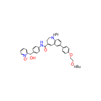 CCCCOCCOc1ccc(-c2ccc3c(c2)C=C(C(=O)Nc2ccc([C@H](O)c4cccc[n+]4[O-])cc2)CCN3CCC)cc1